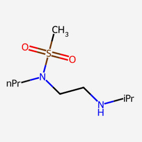 CCCN(CCNC(C)C)S(C)(=O)=O